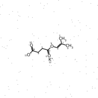 CC(C)=COC(=O)CCC(=O)[O-].[K+]